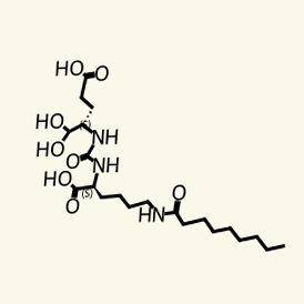 CCCCCCCCC(=O)NCCCC[C@H](NC(=O)N[C@@H](CCC(=O)O)C(O)O)C(=O)O